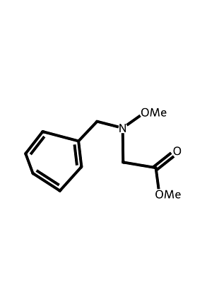 COC(=O)CN(Cc1ccccc1)OC